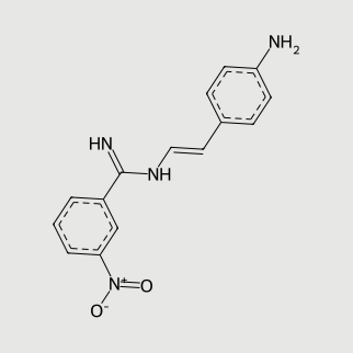 N=C(NC=Cc1ccc(N)cc1)c1cccc([N+](=O)[O-])c1